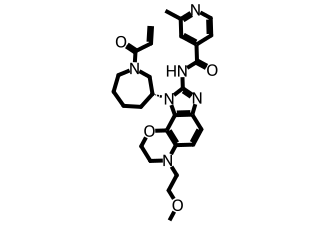 C=CC(=O)N1CCCC[C@@H](n2c(NC(=O)c3ccnc(C)c3)nc3ccc4c(c32)OCCN4CCOC)C1